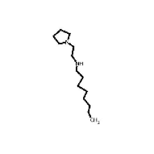 [CH2]CCCCCCCNCCN1CCCC1